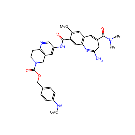 CCCN(CCC)C(=O)C1=Cc2cc(OC)c(C(=O)Nc3cnc4c(c3)CN(C(=O)OCc3ccc(NC=O)cc3)CC4)cc2N=C(N)C1